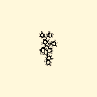 c1ccc(N(c2ccccc2)c2ccc3c4c5cccc6cc(-c7ccc8ccccc8c7)c7cccc(c7c65)c4n(-c4ccccc4)c3c2)cc1